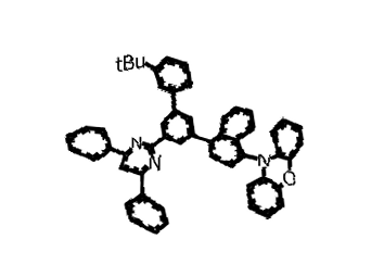 CC(C)(C)c1cccc(-c2cc(-c3nc(-c4ccccc4)cc(-c4ccccc4)n3)cc(-c3ccc(N4c5ccccc5Oc5ccccc54)c4ccccc34)c2)c1